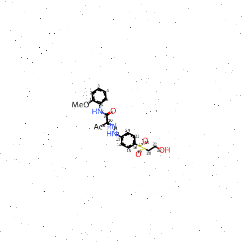 COc1ccccc1NC(=O)/C(=N/Nc1ccc(S(=O)(=O)CCO)cc1)C(C)=O